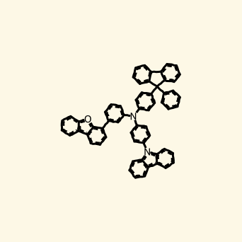 c1ccc(C2(c3ccc(N(c4ccc(-n5c6ccccc6c6ccccc65)cc4)c4cccc(-c5cccc6c5oc5ccccc56)c4)cc3)c3ccccc3-c3ccccc32)cc1